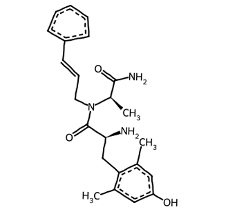 Cc1cc(O)cc(C)c1C[C@H](N)C(=O)N(C/C=C/c1ccccc1)[C@H](C)C(N)=O